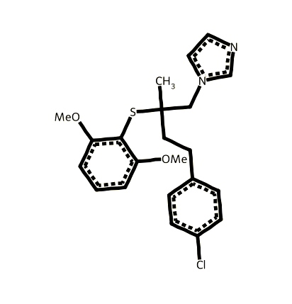 COc1cccc(OC)c1SC(C)(CCc1ccc(Cl)cc1)Cn1ccnc1